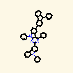 c1ccc(-c2nc(-c3ccc4c(c3)c3ccccc3n4-c3ccccc3)nc3c2c2cc(-c4ccc5c(c4)-c4ccccc4C5c4ccccc4)ccc2n3-c2ccccc2)cc1